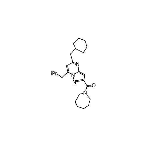 CC(C)Cc1cc(CC2CCCCC2)nc2cc(C(=O)N3CCCCCC3)nn12